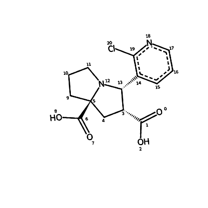 O=C(O)[C@@H]1C[C@]2(C(=O)O)CCCN2[C@@H]1c1cccnc1Cl